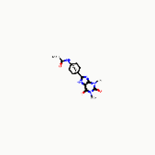 CCCn1c(=O)c2[nH]c(C34CCC(NC(=O)OC)(CC3)CC4)nc2n(CCC)c1=O